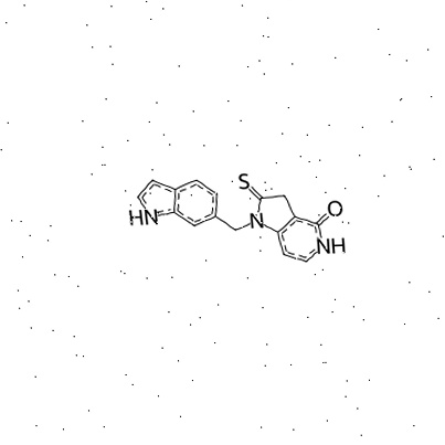 O=c1[nH]ccc2c1CC(=S)N2Cc1ccc2cc[nH]c2c1